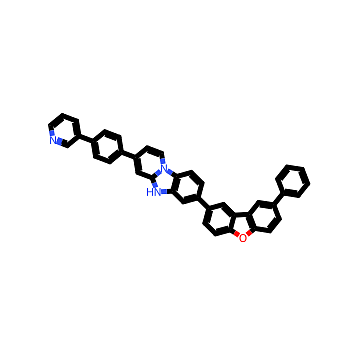 C1=CN2c3ccc(-c4ccc5oc6ccc(-c7ccccc7)cc6c5c4)cc3NC2C=C1c1ccc(-c2cccnc2)cc1